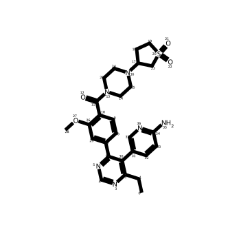 CCc1ncnc(-c2ccc(C(=O)N3CCN(C4CCS(=O)(=O)C4)CC3)c(OC)c2)c1-c1ccc(N)nc1